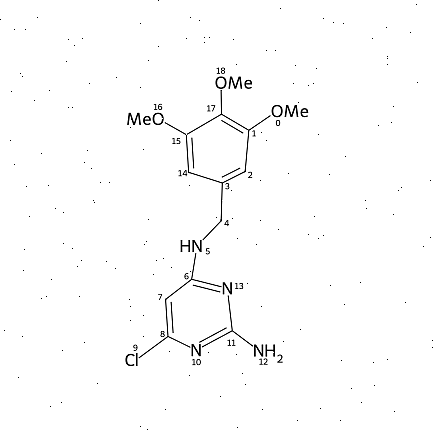 COc1cc(CNc2cc(Cl)nc(N)n2)cc(OC)c1OC